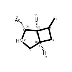 CC(=O)[C@H]1NC[C@@H]2CC(C)[C@@H]21